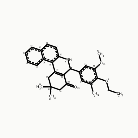 CCOc1c(C)cc(C2Nc3ccc4ccccc4c3C3=C2C(=O)CC(C)(C)C3)cc1OC